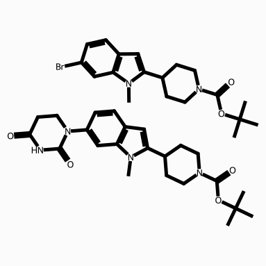 Cn1c(C2CCN(C(=O)OC(C)(C)C)CC2)cc2ccc(Br)cc21.Cn1c(C2CCN(C(=O)OC(C)(C)C)CC2)cc2ccc(N3CCC(=O)NC3=O)cc21